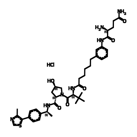 Cc1ncsc1-c1ccc([C@H](C)NC(=O)[C@@H]2C[C@@H](O)CN2C(=O)[C@@H](NC(=O)CCCCCc2cccc(NC(=O)[C@@H](N)CCC(N)=O)c2)C(C)(C)C)cc1.Cl